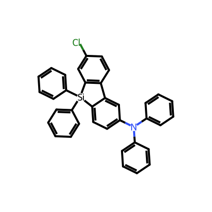 Clc1ccc2c(c1)[Si](c1ccccc1)(c1ccccc1)c1ccc(N(c3ccccc3)c3ccccc3)cc1-2